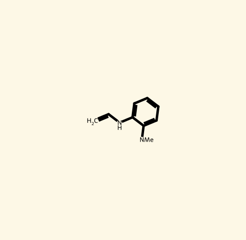 C=CNc1ccccc1NC